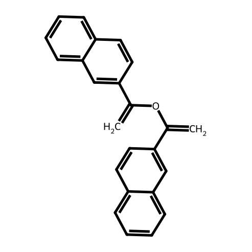 C=C(OC(=C)c1ccc2ccccc2c1)c1ccc2ccccc2c1